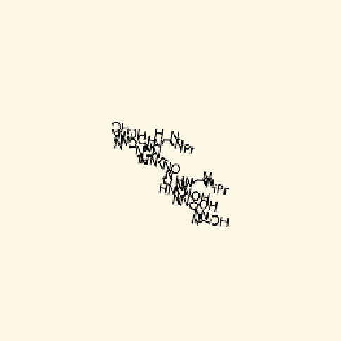 CC(C)n1cnc(CCNc2nc(N[C@@H]3CCN(C(=O)N4CC[C@@H](Nc5nc(NCCc6cn(C(C)C)cn6)nc6c5ncn6[C@@H]5C[C@H](n6ncc(CO)n6)[C@@H](O)[C@H]5O)C4)C3)c3ncn([C@@H]4C[C@H](n5ncc(CO)n5)[C@@H](O)[C@H]4O)c3n2)c1